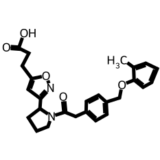 Cc1ccccc1OCc1ccc(CC(=O)N2CCCC2c2cc(CCC(=O)O)on2)cc1